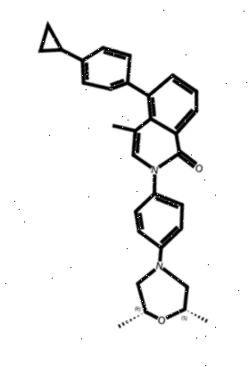 Cc1cn(-c2ccc(N3C[C@@H](C)O[C@@H](C)C3)cc2)c(=O)c2cccc(-c3ccc(C4CC4)cc3)c12